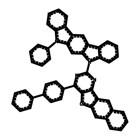 c1ccc(-c2ccc(-c3nc(-n4c5ccccc5c5cc6c7ccccc7n(-c7ccccc7)c6cc54)nc4c3oc3cc5ccccc5cc34)cc2)cc1